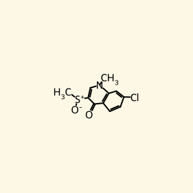 Cn1cc([S+](C)[O-])c(=O)c2ccc(Cl)cc21